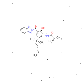 C=C(C)C(=O)NCc1cc(C(C)(C)CCCCC)cc(C(=O)n2nc3ccccc3n2)c1O